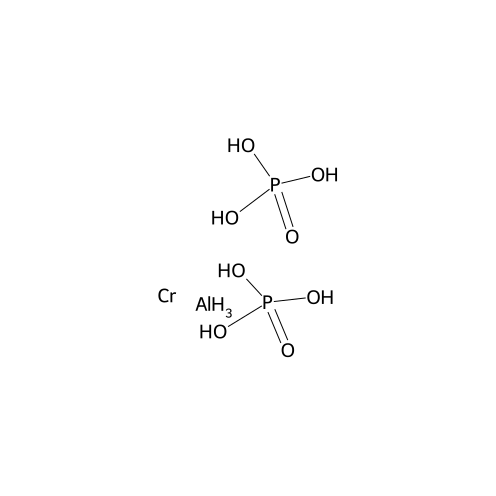 O=P(O)(O)O.O=P(O)(O)O.[AlH3].[Cr]